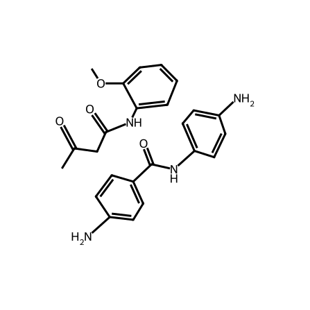 COc1ccccc1NC(=O)CC(C)=O.Nc1ccc(NC(=O)c2ccc(N)cc2)cc1